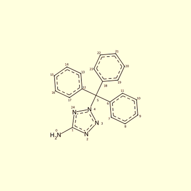 Nc1nnn(C(c2ccccc2)(c2ccccc2)c2ccccc2)n1